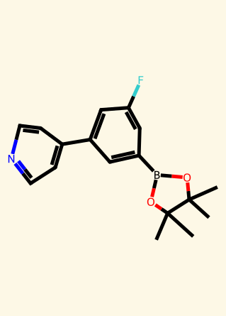 CC1(C)OB(c2cc(F)cc(-c3ccncc3)c2)OC1(C)C